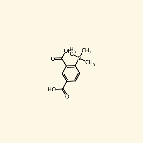 C[Si](C)(C)c1ccc(C(=O)O)cc1C(=O)O